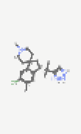 Cc1cc2c(cc1Cl)C1(CCN(C)CC1)C[C@@H]2C(C)(C)c1cnn[nH]1